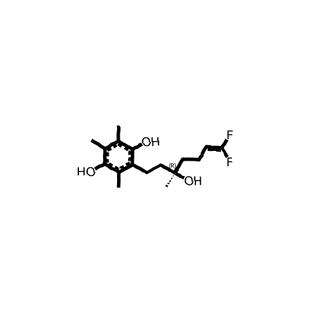 Cc1c(C)c(O)c(CC[C@](C)(O)CCC=C(F)F)c(C)c1O